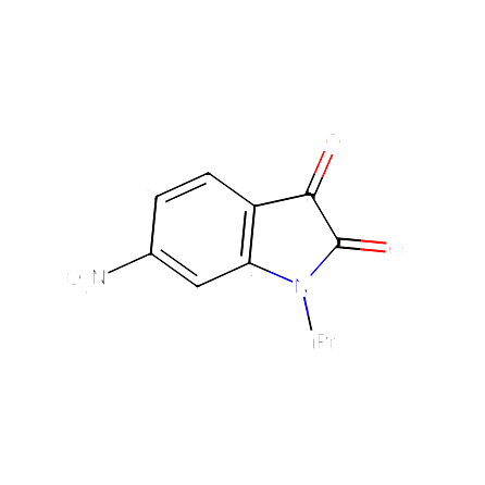 CC(C)N1C(=O)C(=O)c2ccc([N+](=O)[O-])cc21